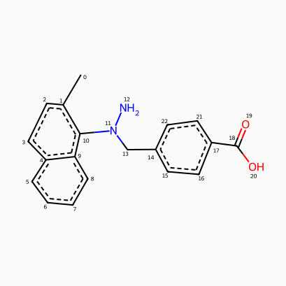 Cc1ccc2ccccc2c1N(N)Cc1ccc(C(=O)O)cc1